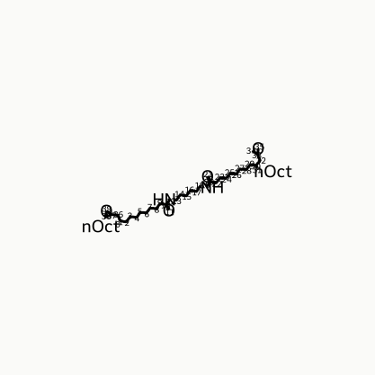 CCCCCCCCC(CCCCCCCCC(=O)NCCCCCCNC(=O)CCCCCCCCC(CCCCCCCC)CC1CO1)CC1CO1